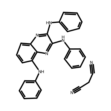 N#CCC#N.c1ccc(Nc2nc3cccc(Nc4ccccc4)c3nc2Nc2ccccc2)cc1